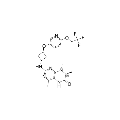 Cc1nc(N[C@H]2C[C@H](Oc3ccc(OCC(F)(F)F)nc3)C2)nc2c1NC(=O)[C@H](C)N2C